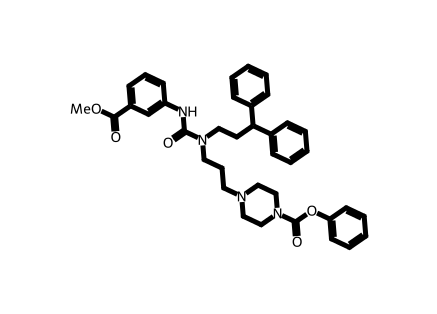 COC(=O)c1cccc(NC(=O)N(CCCN2CCN(C(=O)Oc3ccccc3)CC2)CCC(c2ccccc2)c2ccccc2)c1